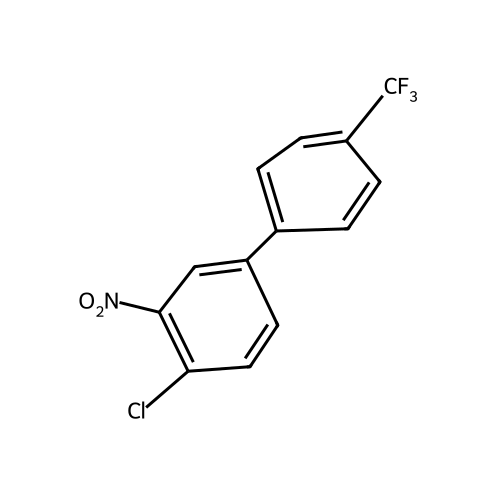 O=[N+]([O-])c1cc(-c2ccc(C(F)(F)F)cc2)ccc1Cl